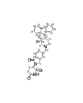 O=C1CCC(N2Cc3cc(CN4CC[C@H](C5c6ccccc6-c6ccccc65)C(F)(F)C4)ccc3C2=O)C(=O)N1